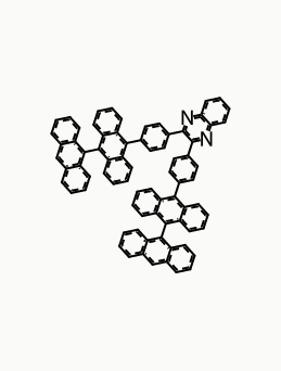 c1ccc2c(-c3c4ccccc4c(-c4ccc(-c5nc6ccccc6nc5-c5ccc(-c6c7ccccc7c(-c7c8ccccc8cc8ccccc78)c7ccccc67)cc5)cc4)c4ccccc34)c3ccccc3cc2c1